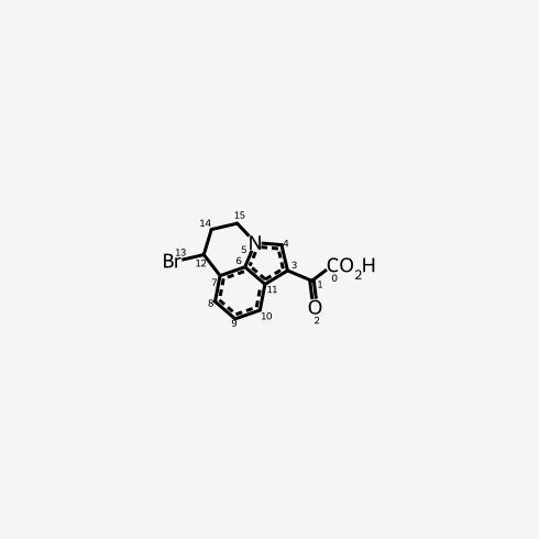 O=C(O)C(=O)c1cn2c3c(cccc13)C(Br)CC2